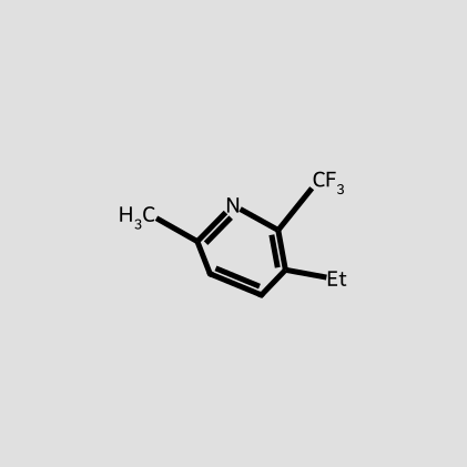 CCc1ccc(C)nc1C(F)(F)F